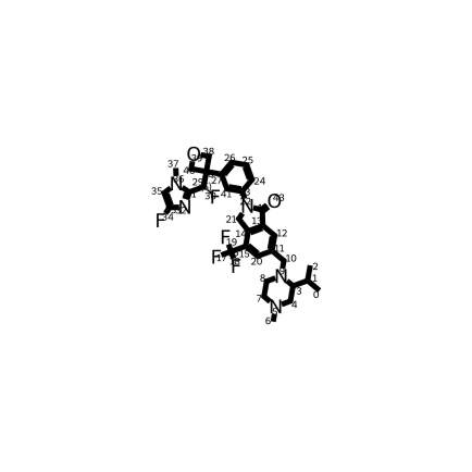 CC(C)C1CN(C)CCN1Cc1cc2c(c(C(F)(F)F)c1)CN(c1cccc(C3([C@H](F)c4nc(F)cn4C)COC3)c1)C2=O